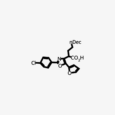 CCCCCCCCCCCCC(C(=O)O)c1nc(-c2ccc(Cl)cc2)oc1-c1ccco1